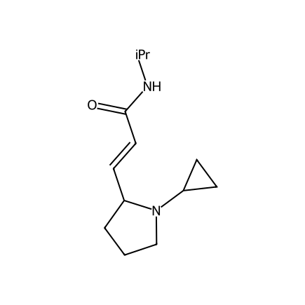 CC(C)NC(=O)/C=C/C1CCCN1C1CC1